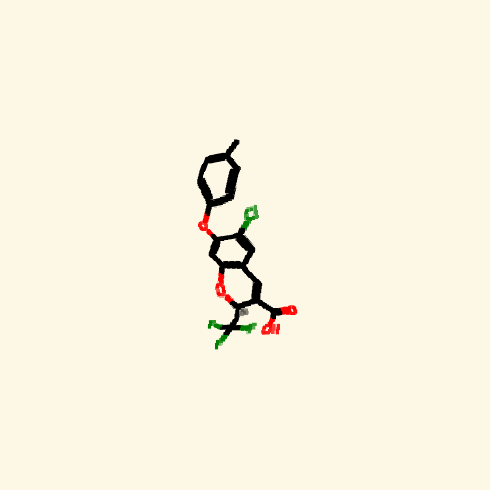 Cc1ccc(Oc2cc3c(cc2Cl)C=C(C(=O)O)[C@@H](C(F)(F)F)O3)cc1